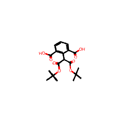 CC(C)(C)OC(=O)C(C(=O)OC(C)(C)C)c1c(C(=O)O)cccc1C(=O)O